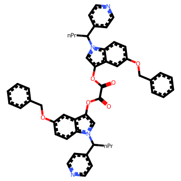 CCCC(c1ccncc1)n1cc(OC(=O)C(=O)Oc2cn(C(CCC)c3ccncc3)c3ccc(OCc4ccccc4)cc23)c2cc(OCc3ccccc3)ccc21